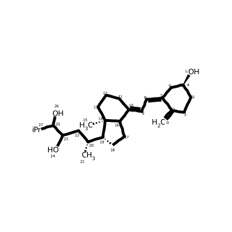 C=C1CC[C@H](O)C/C1=C/C=C1CCC[C@@]2(C)C1CC[C@@H]2[C@H](C)CC(O)C(O)C(C)C